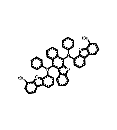 CC(C)(C)c1cccc2c1oc1c(N(c3ccccc3)c3c4ccccc4c(N(c4ccccc4)c4cccc5c4oc4c(C(C)(C)C)cccc45)c4c3oc3ccccc34)cccc12